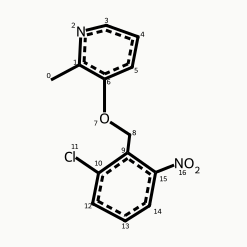 Cc1ncccc1OCc1c(Cl)cccc1[N+](=O)[O-]